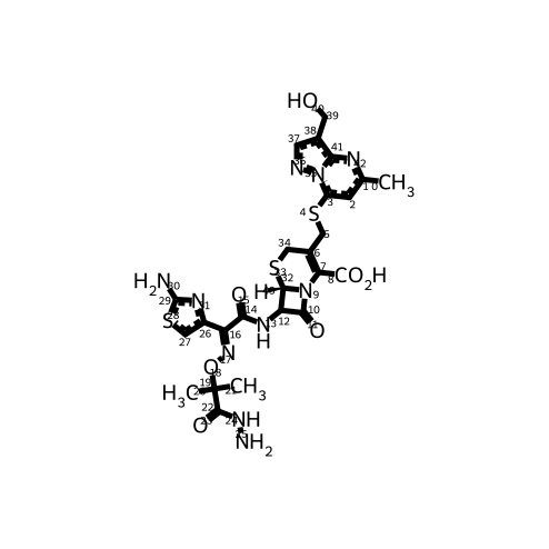 Cc1cc(SCC2=C(C(=O)O)N3C(=O)C(NC(=O)C(=NOC(C)(C)C(=O)NN)c4csc(N)n4)[C@@H]3SC2)n2ncc(CO)c2n1